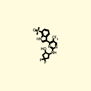 CP(C)(=O)c1cccc2c(-c3nc(NC4CC(F)(F)CC4O)ncc3C(F)(F)F)c[nH]c12